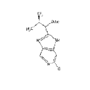 CC(=O)OC(c1nc2cnc(Cl)cc2[nH]1)[C@@H](C)C(F)(F)F